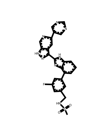 CS(=O)(=O)NCc1cc(F)cc(-c2cccc3[nH]c(-c4n[nH]c5cnc(-c6cncnc6)cc45)nc23)c1